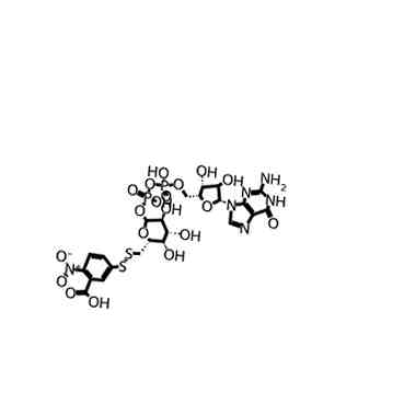 Nc1nc2c(ncn2[C@@H]2O[C@H](COP(=O)(O)OP(=O)(O)OC3O[C@@H](CSSc4ccc([N+](=O)[O-])c(C(=O)O)c4)[C@@H](O)[C@@H](O)[C@@H]3O)[C@H](O)C2O)c(=O)[nH]1